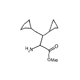 COC(=O)C(N)C(C1CC1)C1CC1